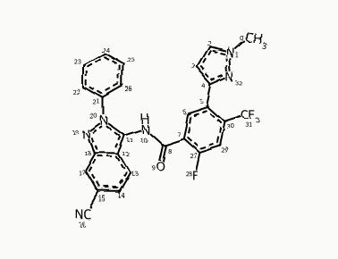 Cn1ccc(-c2cc(C(=O)Nc3c4ccc(C#N)cc4nn3-c3ccccc3)c(F)cc2C(F)(F)F)n1